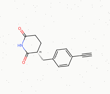 C#Cc1ccc(C[C@H]2CCC(=O)NC2=O)cc1